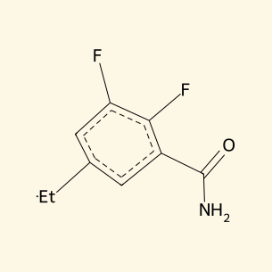 C[CH]c1cc(F)c(F)c(C(N)=O)c1